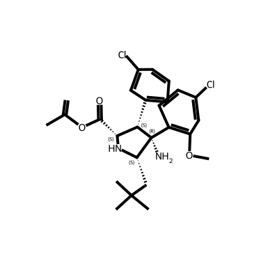 C=C(C)OC(=O)[C@H]1N[C@@H](CC(C)(C)C)[C@](N)(c2ccc(Cl)cc2OC)[C@H]1c1cccc(Cl)c1